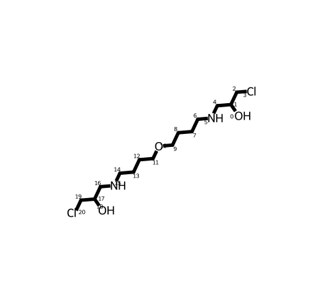 OC(CCl)CNCCCCOCCCCNCC(O)CCl